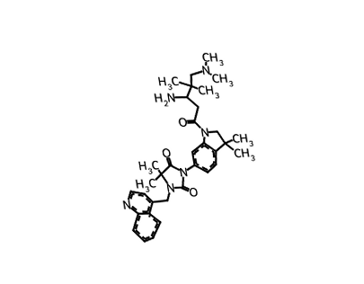 CN(C)CC(C)(C)C(N)CC(=O)N1CC(C)(C)c2ccc(N3C(=O)N(Cc4ccnc5ccccc45)C(C)(C)C3=O)cc21